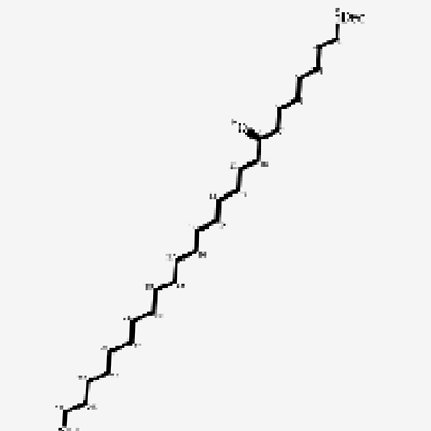 CCCCCCCCCCCCCCCCCC(=O)CCCCCCCCCCCCCCCCCCN